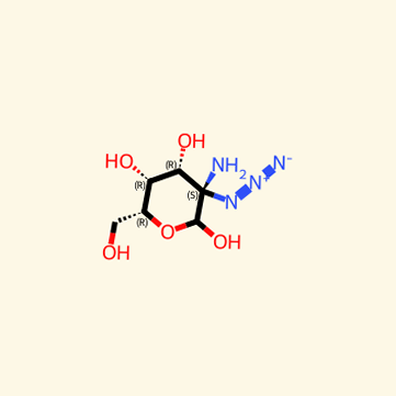 [N-]=[N+]=N[C@]1(N)C(O)O[C@H](CO)[C@H](O)[C@@H]1O